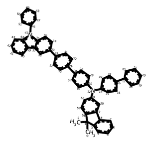 CC1(C)c2ccccc2-c2cc(N(c3ccc(-c4ccccc4)cc3)c3ccc(-c4ccc(-c5ccc6c(c5)c5ccccc5n6-c5ccccc5)cc4)cc3)ccc21